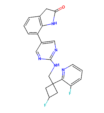 O=C1Cc2cccc(-c3cnc(NCC4(c5ncccc5F)CC(F)C4)nc3)c2N1